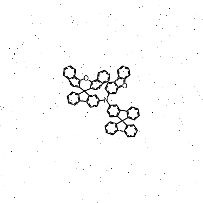 c1ccc2c(c1)-c1ccccc1C21c2ccccc2-c2cc(N(c3ccc4c(c3)C3(c5ccccc5-4)c4ccc5ccccc5c4Oc4c3ccc3ccccc43)c3ccc4c(c3)oc3ccccc34)ccc21